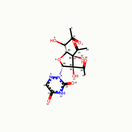 CC(=O)C(O)[C@H]1O[C@@H](n2ncc(=O)[nH]c2=O)[C@@](O)(C(C)=O)[C@@]1(O)C(C)=O